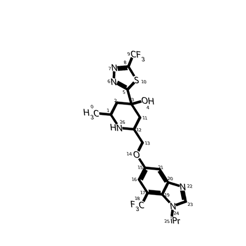 CC1CC(O)(c2nnc(C(F)(F)F)s2)CC(COc2cc(C(F)(F)F)c3c(c2)ncn3C(C)C)N1